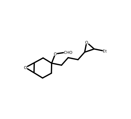 CCC1OC1CCCC1(OC=O)CCC2OC2C1